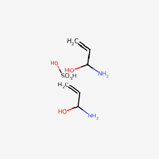 C=CC(N)O.C=CC(N)O.O=S(=O)(O)O